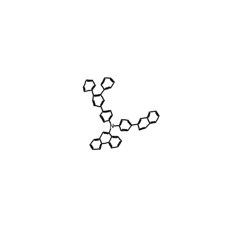 c1ccc(-c2ccc(-c3ccc(N(c4ccc(-c5ccc6ccccc6c5)cc4)c4cc5ccccc5c5ccccc45)cc3)cc2-c2ccccc2)cc1